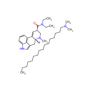 CCCCCCCCCCCCCCCCN(C)C.CCN(CC)C(=O)[C@@H]1C=C2c3cccc4[nH]cc(c34)C[C@H]2N(C)C1